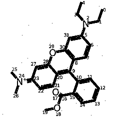 CCN(CC)c1ccc2c(-c3ccccc3C(=O)OC)c3ccc(=[N+](C)C)cc-3oc2c1